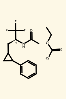 CC(=O)N[C@@H](CC1CC1c1ccccc1)C(F)(F)F.CCOC(=S)S